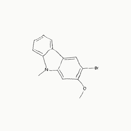 COc1cc2c(cc1Br)c1ccccc1n2C